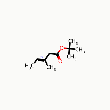 C/C=C(\C)CC(=O)OC(C)(C)C